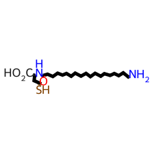 NCCCCCCCCCCCCCCCCCCC(=O)NC(CCS)C(=O)O